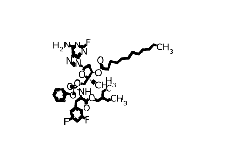 C#C[C@]1(CO[P@@](=O)(NC(Cc2cc(F)cc(F)c2)C(=O)OCC(CC)CC)Oc2ccccc2)O[C@@H](n2cnc3c(N)nc(F)nc32)C[C@@H]1OC(=O)CCCCCCCCCCC